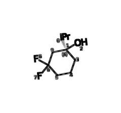 CC(C)[C@]1(O)CCCC(F)(F)C1